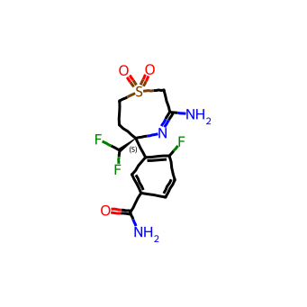 NC(=O)c1ccc(F)c([C@]2(C(F)F)CCS(=O)(=O)CC(N)=N2)c1